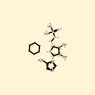 C1CCCCC1.Nc1cncn1[C@@H]1O[C@H](COP(=O)(O)O)[C@@H](O)[C@H]1O